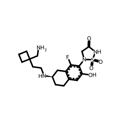 NCC1(CCN[C@@H]2CCc3cc(O)c(N4CC(=O)NS4(=O)=O)c(F)c3C2)CCC1